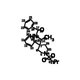 CCCS(=O)(=O)N1CCC(c2ccccc2)([C@H](C)NC(=O)c2ccccc2)CC1